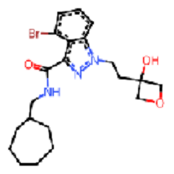 O=C(NCC1CCCCCC1)c1nn(CCC2(O)COC2)c2cccc(Br)c12